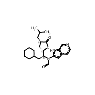 CC(C)C[C@@H]1C[C@@H]([C@H](CC2CCCCC2)N(C=O)c2cc3ccncc3[nH]2)OC1=O